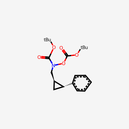 CC(C)(C)OC(=O)ON(C[C@@H]1C[C@H]1c1ccccc1)C(=O)OC(C)(C)C